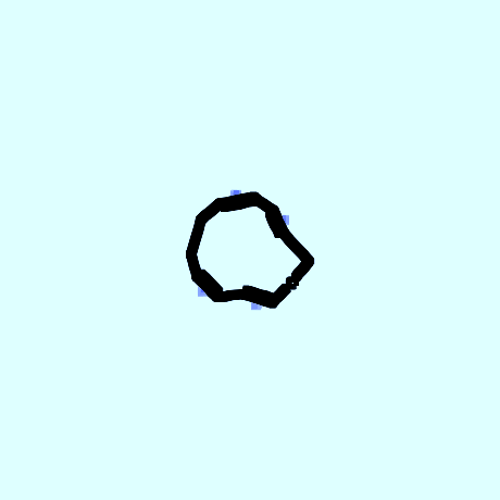 [CH]1/C=C/C=C\CC/C=C\C=C\C1